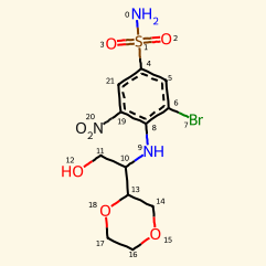 NS(=O)(=O)c1cc(Br)c(NC(CO)C2COCCO2)c([N+](=O)[O-])c1